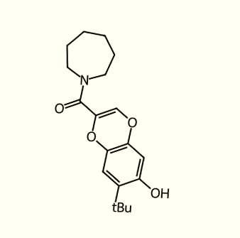 CC(C)(C)c1cc2c(cc1O)OC=C(C(=O)N1CCCCCC1)O2